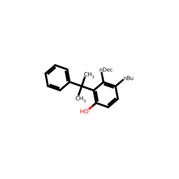 CCCCCCCCCCc1c(CCCC)ccc(O)c1C(C)(C)c1ccccc1